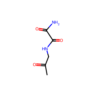 CC(=O)CNC(=O)C(N)=O